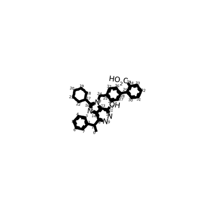 CC(c1ccccc1)c1nnc(O)c2c1nc(C1CCCCC1)n2Cc1ccc(-c2ccccc2C(=O)O)cc1